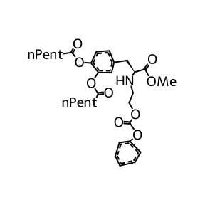 CCCCCC(=O)Oc1ccc(C[C@H](NCCOC(=O)Oc2ccccc2)C(=O)OC)cc1OC(=O)CCCCC